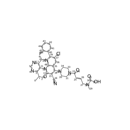 CC(C)c1ncnc(C(C)C)c1-n1c(=O)c(C#N)c(N2CCN(C(=O)C=CCN(C)C(=O)O)CC2)c2cc(Cl)c(-c3ccccc3F)nc21